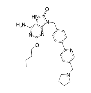 CCCCOc1nc(N)c2[nH]c(=O)n(Cc3ccc(-c4ccc(CN5CCCC5)cn4)cc3)c2n1